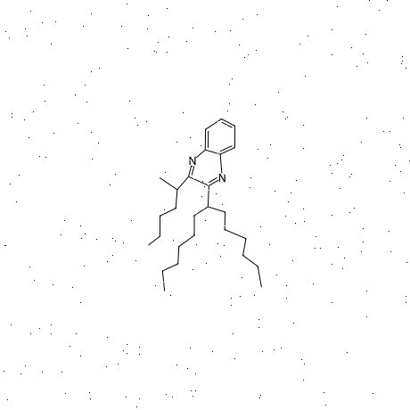 CCCCCCC(CCCCCC)c1nc2ccccc2nc1C(C)CCCC